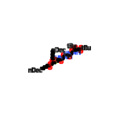 CCCCCCCCCCCCCCCC(=O)OCC(CSCCC(=O)NCC(=O)NCC(=O)NCC(=O)N[C@@H](CCC(=O)OC(C)(C)C)C(=O)OC(C)(C)C)OC(=O)CCCCCCCCCCCCCCC